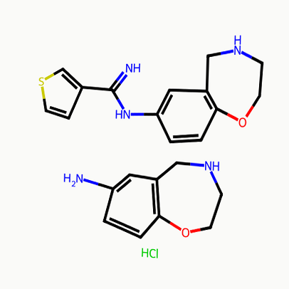 Cl.N=C(Nc1ccc2c(c1)CNCCO2)c1ccsc1.Nc1ccc2c(c1)CNCCO2